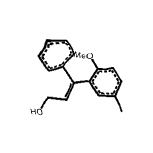 COc1ccc(C)cc1C(=CCO)c1ccccc1